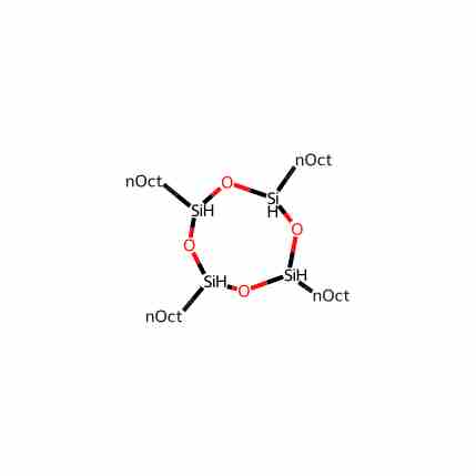 CCCCCCCC[SiH]1O[SiH](CCCCCCCC)O[SiH](CCCCCCCC)O[SiH](CCCCCCCC)O1